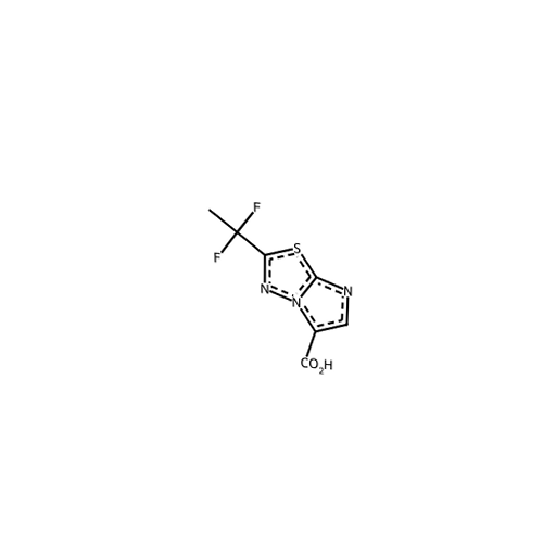 CC(F)(F)c1nn2c(C(=O)O)cnc2s1